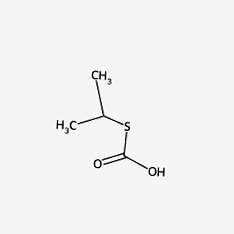 CC(C)SC(=O)O